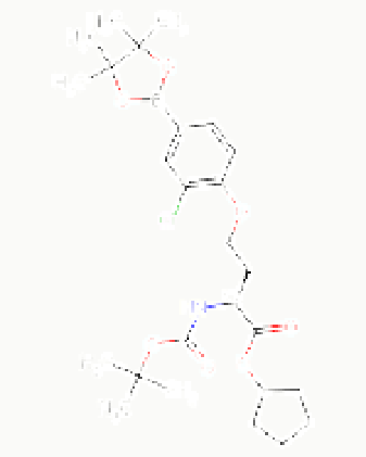 CC(C)(C)OC(=O)N[C@@H](CCOc1ccc(B2OC(C)(C)C(C)(C)O2)cc1Cl)C(=O)OC1CCCC1